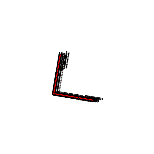 [Nb+5].[Nb+5].[Nb+5].[Nb+5].[Nb+5].[Nb+5].[Nb+5].[Nb+5].[Nb+5].[Nb+5].[Nb+5].[Nb+5].[Nb+5].[Nb+5].[Nb+5].[Nb+5].[Nb+5].[Nb+5].[Nb+5].[Nb+5].[Nb+5].[Nb+5].[Nb+5].[Nb+5].[Nb+5].[Nb+5].[Nb+5].[Nb+5].[Nb+5].[Nb+5].[Nb+5].[Nb+5].[Nb+5].[Nb+5].[Nb+5].[Nb+5].[Nb+5].[Nb+5].[Nb+5].[Nb+5].[Nb+5].[Nb+5].[Nb+5].[Nb+5].[Nb+5].[Nb+5].[Nb+5].[Nb+5].[Nb+5].[Nb+5].[O-2].[O-2].[O-2].[O-2].[O-2].[O-2].[O-2].[O-2].[O-2].[O-2].[O-2].[O-2].[O-2].[O-2].[O-2].[O-2].[O-2].[O-2].[O-2].[O-2].[O-2].[O-2].[O-2].[O-2].[O-2].[O-2].[O-2].[O-2].[O-2].[O-2].[O-2].[O-2].[O-2].[O-2].[O-2].[O-2].[O-2].[O-2].[O-2].[O-2].[O-2].[O-2].[O-2].[O-2].[O-2].[O-2].[O-2].[O-2].[O-2].[O-2].[O-2].[O-2].[O-2].[O-2].[O-2].[O-2].[O-2].[O-2].[O-2].[O-2].[O-2].[O-2].[O-2].[O-2].[O-2].[O-2].[O-2].[O-2].[O-2].[O-2].[O-2].[O-2].[O-2].[O-2].[O-2].[O-2].[O-2].[O-2].[O-2].[O-2]